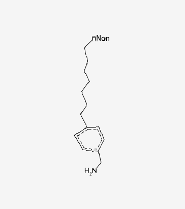 CCCCCCCCCCCCCCCCc1ccc(CN)cc1